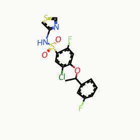 CC(Oc1cc(F)c(S(=O)(=O)Nc2cscn2)cc1Cl)c1cccc(F)c1